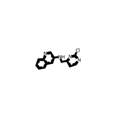 Clc1nccc(CNc2cnc3ccccc3c2)n1